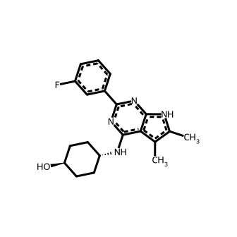 Cc1[nH]c2nc(-c3cccc(F)c3)nc(N[C@H]3CC[C@H](O)CC3)c2c1C